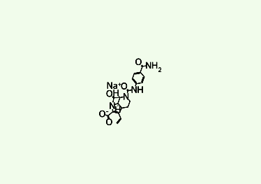 C=CC1=C(C(=O)[O-])N2C(=O)[C@@H]3[C@H]2C1CCN3C(=O)Nc1ccc(C(N)=O)cc1.[Na+]